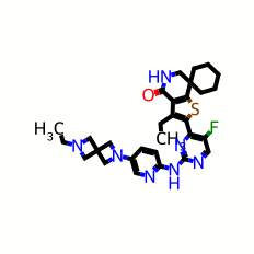 CCc1c(-c2nc(Nc3ccc(N4CC5(CN(CC)C5)C4)cn3)ncc2F)sc2c1C(=O)NCC21CCCCC1